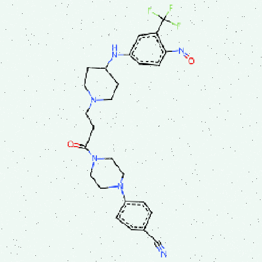 N#Cc1ccc(N2CCN(C(=O)CCN3CCC(Nc4ccc(N=O)c(C(F)(F)F)c4)CC3)CC2)cc1